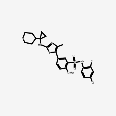 COc1ccc(-c2sc(NC3(C4CCOCC4)CC3)nc2C)cc1S(=O)(=O)Nc1ccc(Cl)cc1Cl